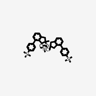 C[Si](C)=[Zr]([Cl])([Cl])([C]1(C)Cc2cccc(-c3ccc([Si](C)(C)C)cc3)c2C1)[C]1(C)Cc2cccc(-c3ccc([Si](C)(C)C)cc3)c2C1